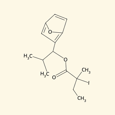 CCC(C)(I)C(=O)OC(c1cc2ccc1o2)C(C)C